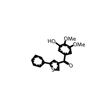 COc1cc(C(=O)c2csc(-c3ccccc3)c2)cc(O)c1OC